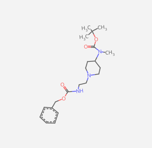 CN(C(=O)OC(C)(C)C)C1CCN(CCNC(=O)OCc2ccccc2)CC1